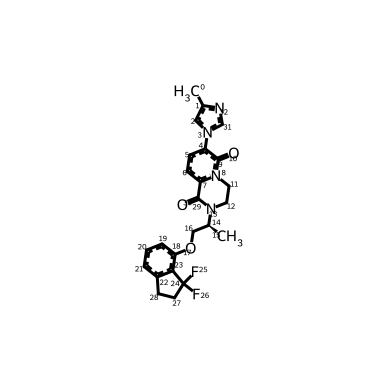 Cc1cn(-c2ccc3n(c2=O)CCN([C@@H](C)COc2cccc4c2C(F)(F)CC4)C3=O)cn1